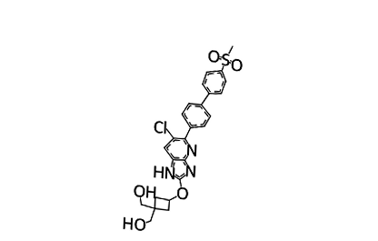 CS(=O)(=O)c1ccc(-c2ccc(-c3nc4nc(OC5CC(CO)(CO)C5)[nH]c4cc3Cl)cc2)cc1